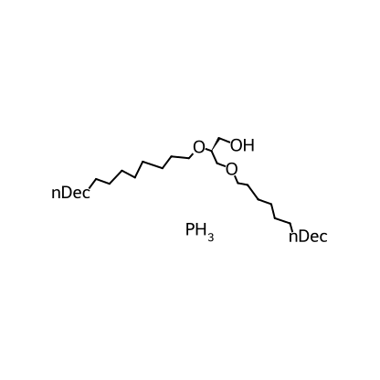 CCCCCCCCCCCCCCCCCCO[C@@H](CO)COCCCCCCCCCCCCCCCC.P